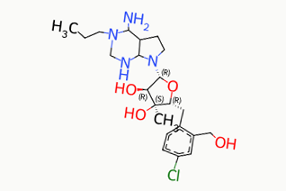 CCCN1CNC2C(CCN2[C@@H]2O[C@H](Cc3ccc(Cl)cc3CO)[C@@](C)(O)[C@H]2O)C1N